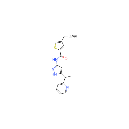 COCc1csc(C(=O)Nc2cc(C(C)c3ccccn3)[nH]n2)c1